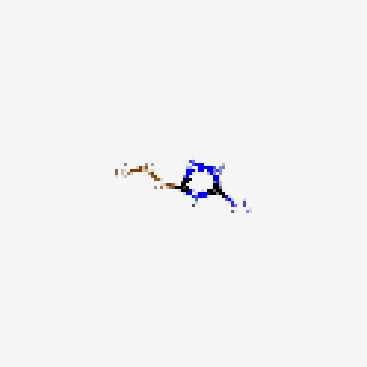 Nc1n[nH]c(SSS)n1